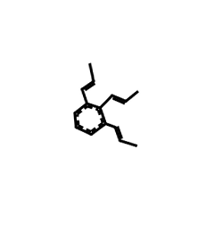 CC=Cc1cccc(C=CC)c1C=CC